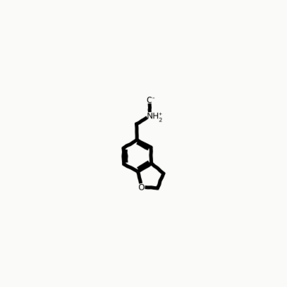 [CH2-][NH2+]Cc1ccc2c(c1)CCO2